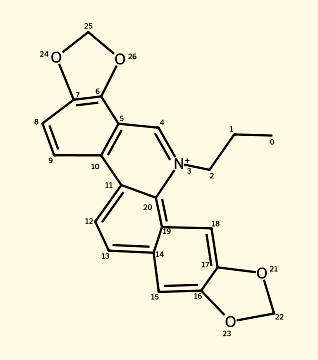 CCC[n+]1cc2c3c(ccc2c2ccc4cc5c(cc4c21)OCO5)OCO3